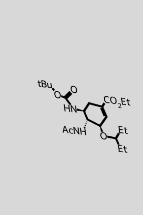 CCOC(=O)C1=C[C@@H](OC(CC)CC)[C@H](NC(C)=O)[C@@H](NC(=O)OC(C)(C)C)C1